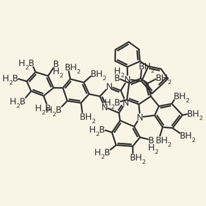 Bc1c(B)c(B)c(-c2c(B)c(B)c(-c3nc(-c4c(B)c(B)c(B)c(B)c4-n4c5c(B)c(B)c(B)c(B)c5c5c(B)c(B)c(B)c(B)c54)nc(-n4c5ccccc5c5ccccc54)n3)c(B)c2B)c(B)c1B